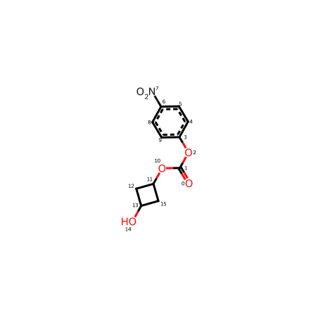 O=C(Oc1ccc([N+](=O)[O-])cc1)OC1CC(O)C1